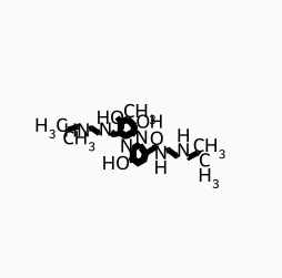 Cc1c(O)c(/C=N/CCNCC(C)C)c2nc3c(O)ccc(C(=O)NCCNCC(C)C)c3nc2c1O